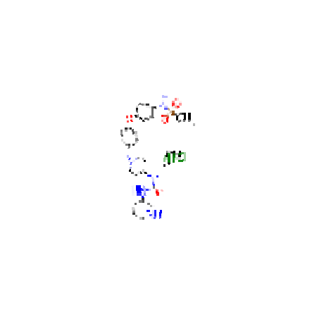 CCCCN(C(=O)N[C@@H]1CCCNC1)C1CCN(Cc2ccc(Oc3ccc(NS(C)(=O)=O)cc3)cc2)CC1.Cl.Cl